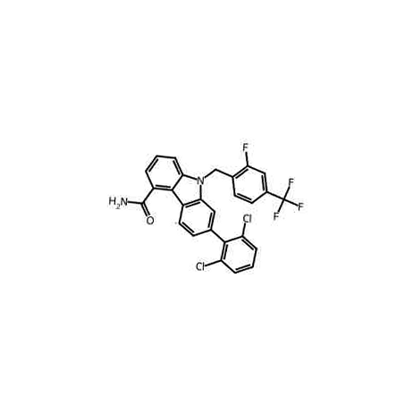 NC(=O)c1cccc2c1c1[c]cc(-c3c(Cl)cccc3Cl)cc1n2Cc1ccc(C(F)(F)F)cc1F